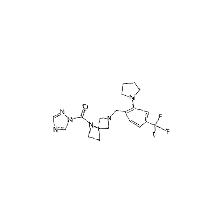 O=C(N1CCC12CN(Cc1ccc(C(F)(F)F)cc1N1CCCC1)C2)n1cncn1